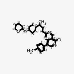 Cc1ccc(-c2cnc(Cl)c3cnc(CC[C@@H](C)[C@H]4CC[C@H](OC5CCCCO5)CC4)nc23)cc1